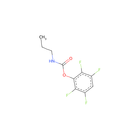 CCCNC(=O)Oc1c(F)c(F)cc(F)c1F